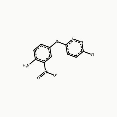 Nc1ccc(Sc2ccc(Cl)nn2)cc1[N+](=O)[O-]